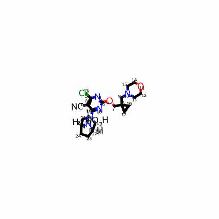 N#Cc1c(Cl)nc(OCC2(CN3CCOCC3)CC2)nc1N1C[C@H]2CC[C@@H](C1)N2C(=O)O